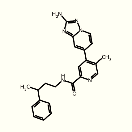 Cc1cnc(C(=O)NCCC(C)c2ccccc2)cc1-c1ccn2nc(N)nc2c1